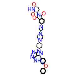 Nc1ncnc2c1c(-c1ccc(Oc3ccccc3)cc1)nn2[C@H]1CC[C@H](N2CCN(C3CN(c4ccc5c(c4)C(=O)N([C@H]4CCC(=O)NC4=O)C5=O)C3)CC2)CC1